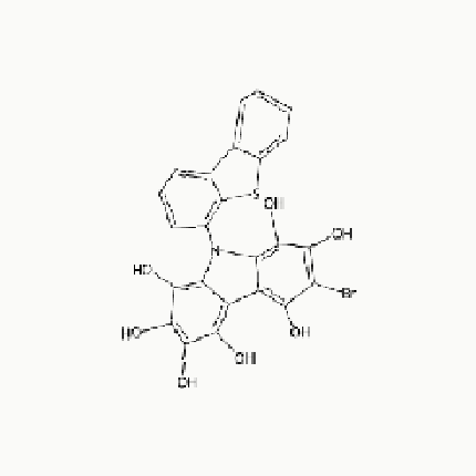 Oc1c(O)c(O)c2c(c1O)c1c(O)c(Br)c(O)c(O)c1n2-c1cccc2c1sc1ccccc12